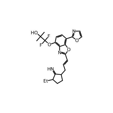 CCC1CCC(C/C=C/c2nc3c(OC(F)(F)C(C)(C)O)ccc(-c4ncco4)c3o2)C1=N